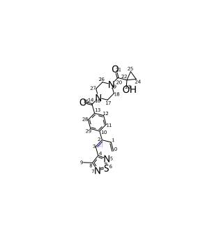 C=C/C(=C\c1nsnc1C)c1ccc(C(=O)N2CCN(C(=O)C3(O)CC3)CC2)cc1